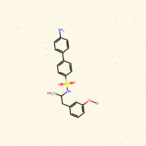 CCOc1cccc(CC(NS(=O)(=O)c2ccc(-c3ccc(N)cc3)cc2)C(=O)O)c1